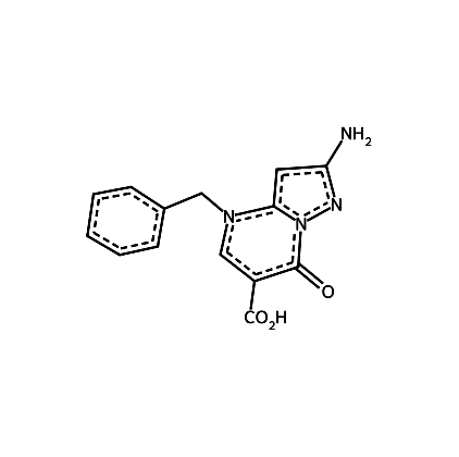 Nc1cc2n(Cc3ccccc3)cc(C(=O)O)c(=O)n2n1